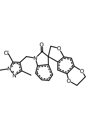 Cc1nn(C)c(Cl)c1CN1C(=O)C2(COc3cc4c(cc32)OCCO4)c2ccccc21